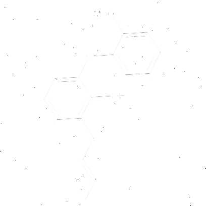 CC=CCc1cccc(Oc2ccccc2OC)c1O